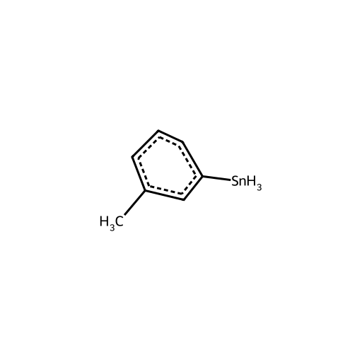 Cc1ccc[c]([SnH3])c1